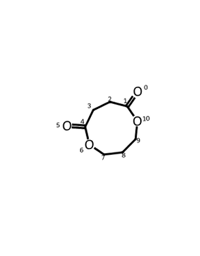 O=C1CCC(=O)OCCCO1